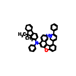 CC1(C)C2=C(C=CCC2)c2ccc(N(c3ccccc3)c3cc4oc5cccc(C6=CC=C(c7ccccc7)NC6)c5c4c4ccccc34)cc21